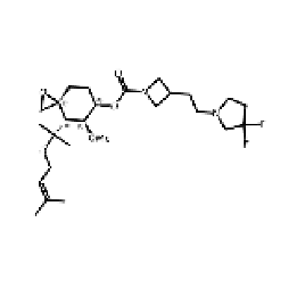 CO[C@H]1[C@H](C(C)(C)OCC=C(C)C)[C@]2(CC[C@H]1OC(=O)N1CC(CCN3CCC(F)(F)C3)C1)CO2